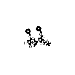 Cc1cc(N2CC(C(=O)OCc3ccccc3)[C@H](NC(=O)OC(C)(C)C)C2=O)c(C)n1[C@@H]1C(=O)NCC1C(=O)OCc1ccccc1